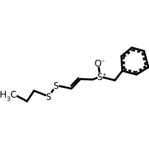 CCCSSC=CC[S+]([O-])Cc1ccccc1